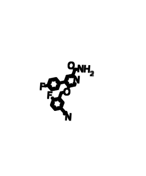 N#Cc1ccc(F)c(COc2cnc(C(N)=O)cc2-c2ccc(F)cc2)c1